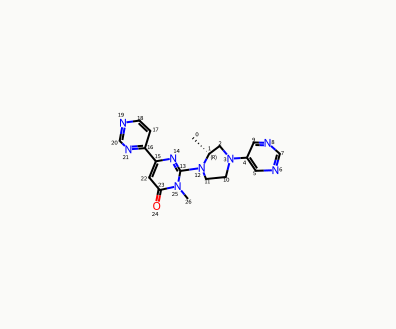 C[C@@H]1CN(c2cncnc2)CCN1c1nc(-c2ccncn2)cc(=O)n1C